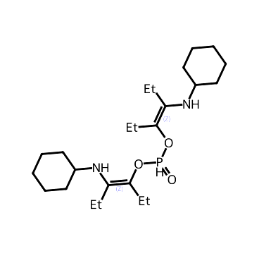 CC/C(NC1CCCCC1)=C(\CC)O[PH](=O)O/C(CC)=C(/CC)NC1CCCCC1